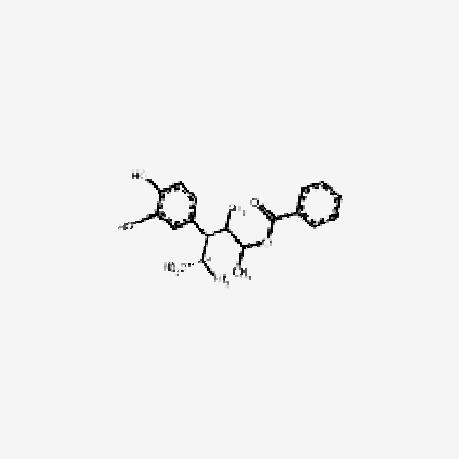 CC(OC(=O)c1ccccc1)C(C)C(c1ccc(O)c(O)c1)[C@H](N)C(=O)O